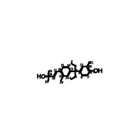 CCC(CC)(c1ccc(O)c(C)c1)c1ccc(/C=C/C(C)(C)O)c(C)c1